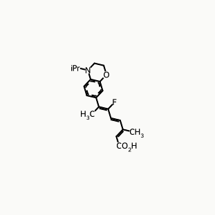 CC(C=CC(F)=C(C)c1ccc2c(c1)OCCN2C(C)C)=CC(=O)O